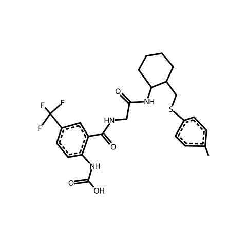 Cc1ccc(SCC2CCCCC2NC(=O)CNC(=O)c2cc(C(F)(F)F)ccc2NC(=O)O)cc1